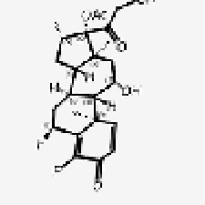 CC(=O)O[C@@]1(C(=O)CO)[C@@H](C)C[C@H]2[C@@H]3C[C@H](F)C4=C(F)C(=O)C=C[C@]4(C)[C@H]3[C@@H](O)C[C@@]21C